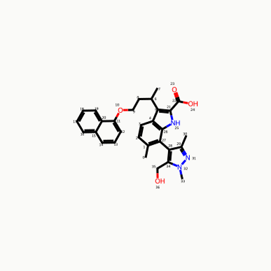 Cc1ccc2c(C(C)CCOc3cccc4ccccc34)c(C(=O)O)[nH]c2c1-c1c(C)nn(C)c1CO